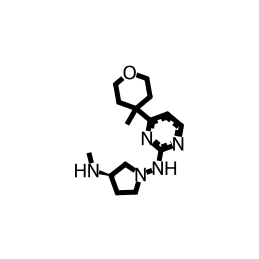 CN[C@@H]1CCN(Nc2nccc(C3(C)CCOCC3)n2)C1